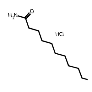 CCCCCCCCCCC(N)=O.Cl